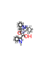 Cn1cc(C2=C(O)/C(=C/C3=[N+](CC4CCCCC4)c4ccccc4C3(C)C)C2=O)c2ccccc21